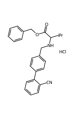 CC(C)C(NCc1ccc(-c2ccccc2C#N)cc1)C(=O)OCc1ccccc1.Cl